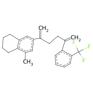 C=C(CCC(=C)c1ccccc1C(F)(F)F)c1cc(C)c2c(c1)CCCC2